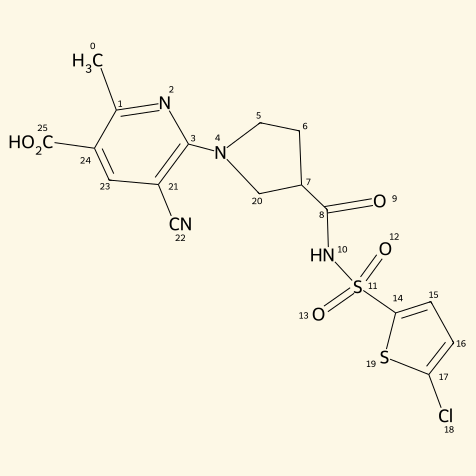 Cc1nc(N2CCC(C(=O)NS(=O)(=O)c3ccc(Cl)s3)C2)c(C#N)cc1C(=O)O